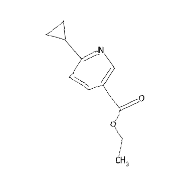 CCOC(=O)c1ccc(C2CC2)nc1